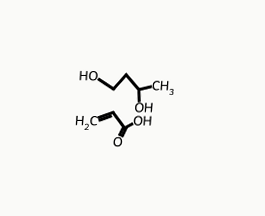 C=CC(=O)O.CC(O)CCO